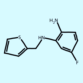 Nc1ccc(F)cc1NCc1cccs1